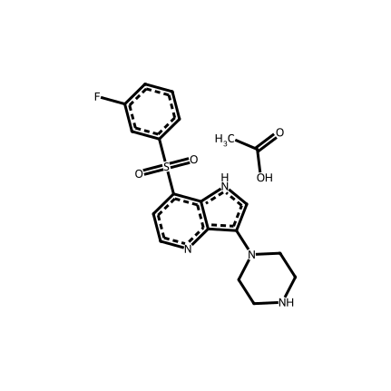 CC(=O)O.O=S(=O)(c1cccc(F)c1)c1ccnc2c(N3CCNCC3)c[nH]c12